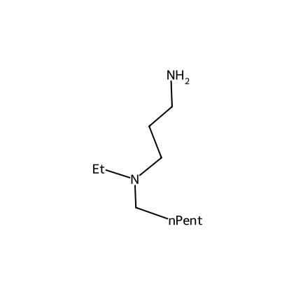 CCCCCCN(CC)CCCN